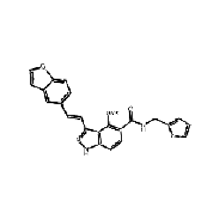 COc1c(C(=O)NCc2ccco2)ccc2[nH]nc(/C=C/c3ccc4occc4c3)c12